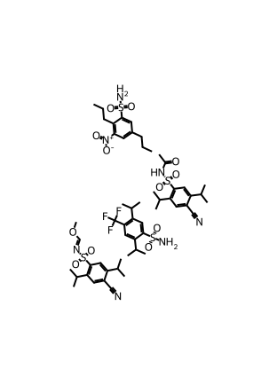 CC(=O)NS(=O)(=O)c1cc(C(C)C)c(C#N)cc1C(C)C.CC(C)c1cc(S(N)(=O)=O)c(C(C)C)cc1C(F)(F)F.CCCc1cc([N+](=O)[O-])c(CCC)c(S(N)(=O)=O)c1.COC=NS(=O)(=O)c1cc(C(C)C)c(C#N)cc1C(C)C